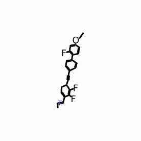 C/C=C/C1=CCC(C#Cc2ccc(-c3ccc(OCC)cc3F)cc2)C(F)=C1F